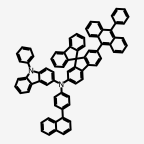 c1ccc(-c2c3ccccc3c(-c3ccc4c(c3)C3(c5ccccc5-c5ccccc53)c3cc(N(c5ccc(-c6cccc7ccccc67)cc5)c5ccc6c(c5)c5ccccc5n6-c5ccccc5)ccc3-4)c3ccccc23)cc1